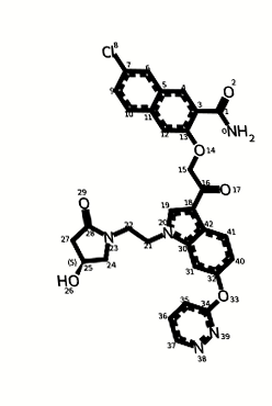 NC(=O)c1cc2cc(Cl)ccc2cc1OCC(=O)c1cn(CCN2C[C@@H](O)CC2=O)c2cc(Oc3cccnn3)ccc12